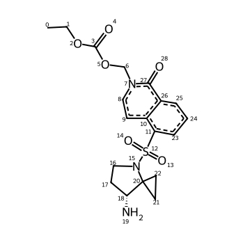 CCOC(=O)OCn1ccc2c(S(=O)(=O)N3CC[C@@H](N)C34CC4)cccc2c1=O